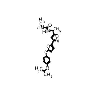 CNC(=O)NC(C)c1cc(-c2ccc(Oc3ccc(OC(C)C)cc3)o2)no1